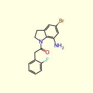 Nc1cc(Br)cc2c1N(C(=O)Cc1ccccc1F)CC2